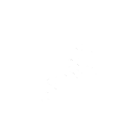 C=CC(=O)Nc1cccc(CNc2cc(NC3CCC(C)(C)NC3)nc3c(C(C)C)cnn23)c1